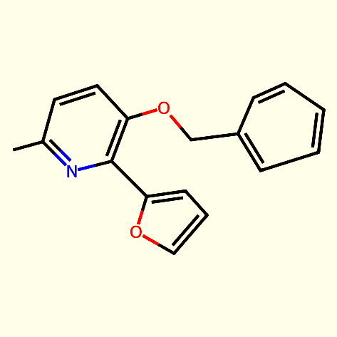 Cc1ccc(OCc2ccccc2)c(-c2ccco2)n1